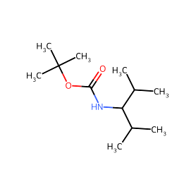 CC(C)C(NC(=O)OC(C)(C)C)C(C)C